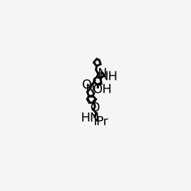 CC(C)NCCOc1ccc2c(c1)CN(C(=O)c1cc3c(CC4CCCC4)n[nH]c3cc1O)C2